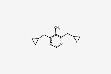 Cc1c(CC2CO2)ccnc1CC1CO1